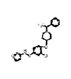 CC(c1ccccc1)N1CCC(Oc2ccc(SNc3ccon3)cc2Cl)CC1